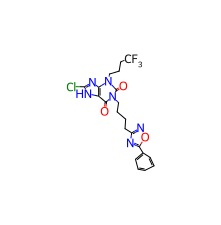 O=c1c2[nH]c(Cl)nc2n(CCCC(F)(F)F)c(=O)n1CCCCc1noc(-c2ccccc2)n1